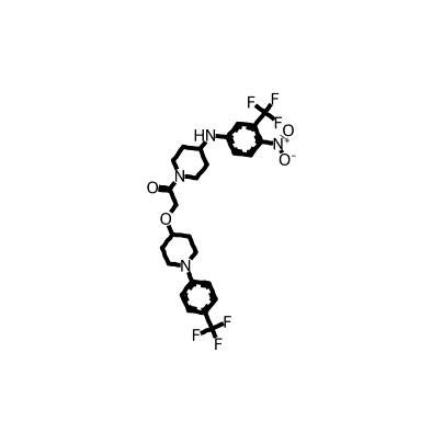 O=C(COC1CCN(c2ccc(C(F)(F)F)cc2)CC1)N1CCC(Nc2ccc([N+](=O)[O-])c(C(F)(F)F)c2)CC1